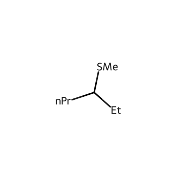 CCCC(CC)SC